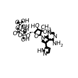 C[C@@]1(O)[C@H](O)[C@@H](COP(=O)(O)OP(=O)(O)OP(=O)(O)O)O[C@H]1n1cc(-c2ccn[nH]2)c2c(N)ncnc21